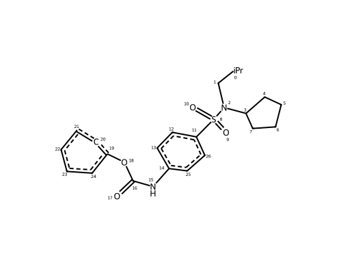 CC(C)CN(C1CCCC1)S(=O)(=O)c1ccc(NC(=O)Oc2ccccc2)cc1